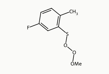 COOOSc1cc(F)ccc1C